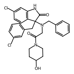 O=C(CN(Cc1ccccc1)C1(Cc2cccc(Cl)c2)C(=O)Nc2cc(Cl)ccc21)N1CCC(O)CC1